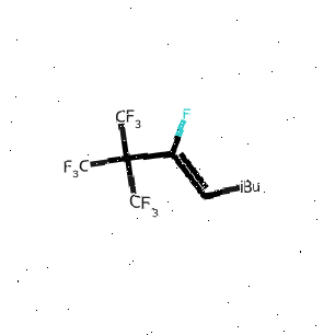 CCC(C)/C=C(\F)C(C(F)(F)F)(C(F)(F)F)C(F)(F)F